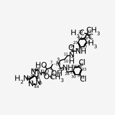 CO[C@H](C(O)C(O)C[C@H](CCCNC(=O)Nc1ccc(C(C)(C)C)cc1)CNCc1cc(Cl)cc(Cl)c1)n1cnc2c(N)ncnc21